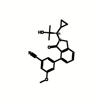 COc1cc(C#N)cc(-c2cccc3c2C(=O)N([C@H](C2CC2)C(C)(C)O)C3)c1